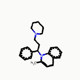 CC1=CCc2ccccc2N1C(CCN1CCCCC1)c1ccccc1